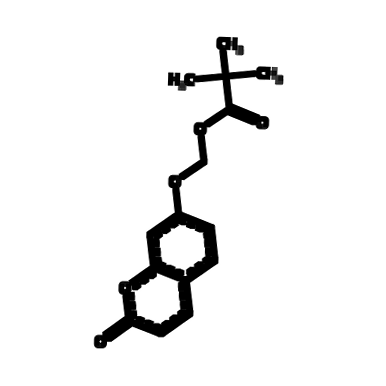 CC(C)(C)C(=O)OCOc1ccc2ccc(=O)oc2c1